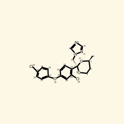 C[C@H]1CCO[C@@](Cn2cncn2)(c2ccc(Oc3ccc(Cl)cc3)cc2Cl)O1